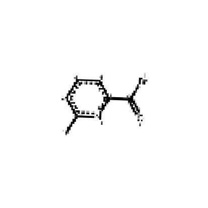 Cc1cccc(C(=O)Br)n1